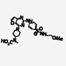 COCCCNS(=O)(=O)c1ccc(Nc2nc(N3CCC(N(C)C(=O)O)CC3)c3occc3n2)cc1